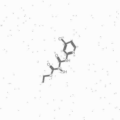 CCOC(=O)N(S)C(=O)Nc1cc(Cl)ccn1